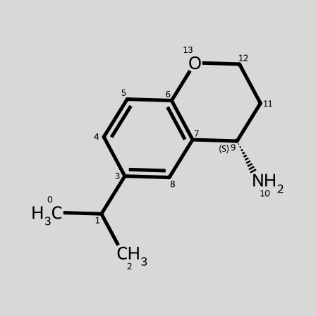 CC(C)c1ccc2c(c1)[C@@H](N)CCO2